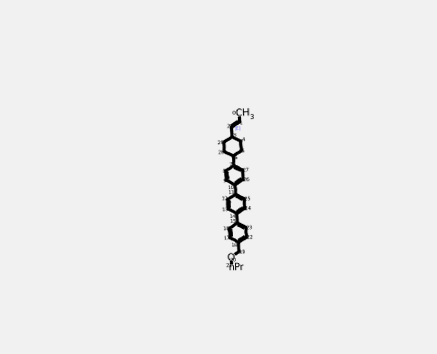 C/C=C/C1CCC(c2ccc(-c3ccc(-c4ccc(COCCC)cc4)cc3)cc2)CC1